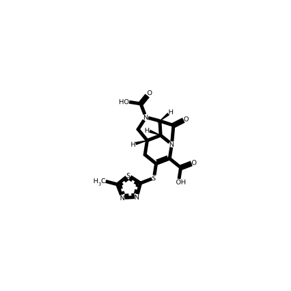 Cc1nnc(SC2=C(C(=O)O)N3C(=O)[C@@H]4[C@H]3[C@H](C2)CN4C(=O)O)s1